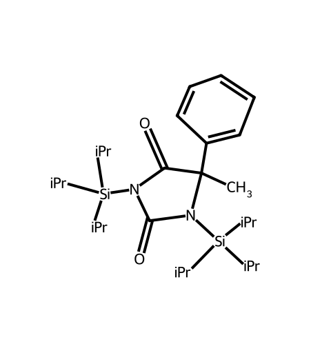 CC(C)[Si](C(C)C)(C(C)C)N1C(=O)N([Si](C(C)C)(C(C)C)C(C)C)C(C)(c2ccccc2)C1=O